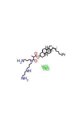 CC(C)CCC[C@@H](C)[C@H]1CC[C@H]2[C@@H]3CC=C4C[C@@H](OC(=O)C(C)C(=O)N(CCCN)CCCCNCCCN)CC[C@]4(C)[C@H]3CC[C@]12C.Cl.Cl.Cl